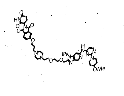 COC1CCN(c2nccc(Nc3cc4c(cn3)nc(COCCOCCN3CCN(CCCOc5ccc6c(c5)C(=O)N(C5CCC(=O)NC5=O)C6=O)CC3)n4C(C)C)n2)CC1